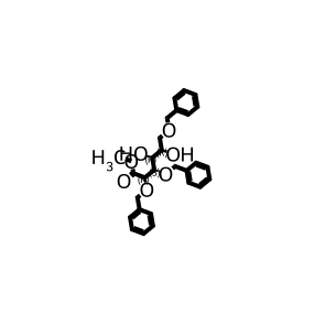 COC(=O)[C@H](OCc1ccccc1)[C@@H](OCc1ccccc1)[C@H](O)[C@H](O)COCc1ccccc1